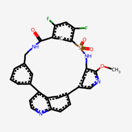 COc1ncc2cc1NS(=O)(=O)c1cc(c(F)cc1F)C(=O)NCc1cccc(c1)-c1ccnc3ccc-2cc13